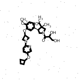 COc1ccc([C@@H]2CN(C(=O)C(O)CO)C[C@@]2(C)[C@@H](C)O)cc1OC1CN(c2ccc(OC3CCC3)cn2)C1